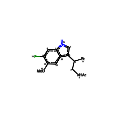 CCC(CNC(C)=O)c1c[nH]c2cc(F)c(OC)cc12